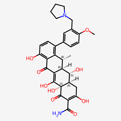 COc1ccc(-c2ccc(O)c3c2[C@H](C)[C@@H]2C(=C(O)[C@]4(O)C(=O)C(C(N)=O)=C(O)C[C@@H]4[C@H]2O)C3=O)cc1CN1CCCC1